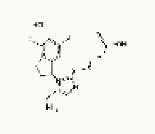 Cl.NCc1cnc(SSCCC(=O)O)n1C1CCc2c(F)cc(F)cc21